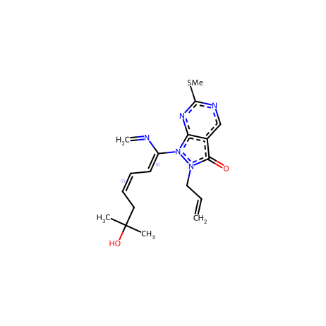 C=CCn1c(=O)c2cnc(SC)nc2n1/C(=C/C=C\CC(C)(C)O)N=C